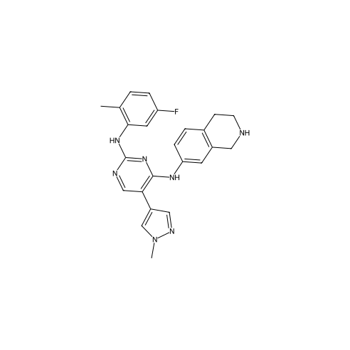 Cc1ccc(F)cc1Nc1ncc(-c2cnn(C)c2)c(Nc2ccc3c(c2)CNCC3)n1